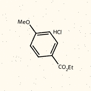 CCOC(=O)c1ccc(OC)cc1.Cl